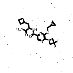 NC(=O)C(CC1CCC1)NC(=O)c1cnc(N2CC(F)(F)C2)c(OCC2CC2)n1